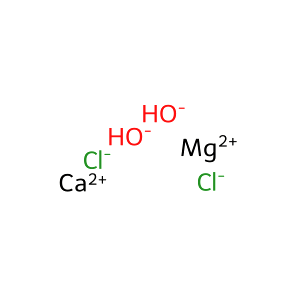 [Ca+2].[Cl-].[Cl-].[Mg+2].[OH-].[OH-]